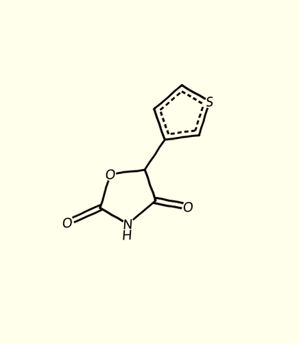 O=C1NC(=O)C(c2ccsc2)O1